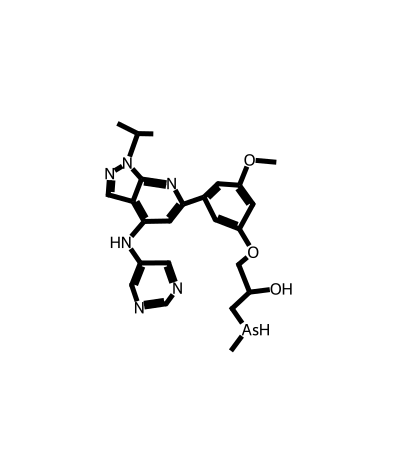 COc1cc(OCC(O)C[AsH]C)cc(-c2cc(Nc3cncnc3)c3cnn(C(C)C)c3n2)c1